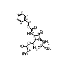 CC(C)OC(=O)OCC1C(NC(=O)OCc2ccccc2)C(=O)N1[SiH2]C(C)C(C)(C)C